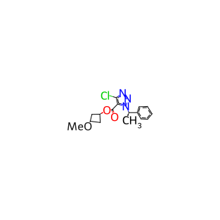 CO[C@H]1C[C@@H](OC(=O)c2c(Cl)nnn2[C@H](C)c2ccccc2)C1